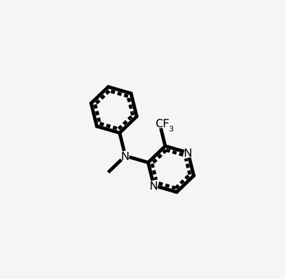 CN(c1ccccc1)c1nccnc1C(F)(F)F